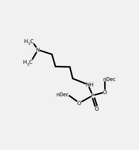 CCCCCCCCCCOP(=O)(NCCCCN(C)C)OCCCCCCCCCC